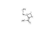 CC(C)CC1CCN1C(=O)C(C)C